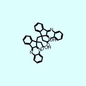 O=C(O)CC1(CC2(CC(=O)O)c3ccccc3-c3nc4ccccc4nc32)c2ccccc2-c2nc3ccccc3nc21